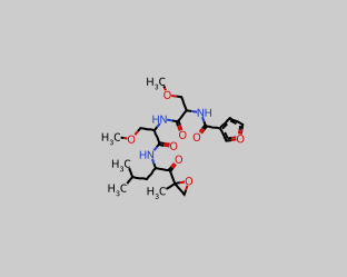 COCC(NC(=O)c1ccoc1)C(=O)NC(COC)C(=O)NC(CC(C)C)C(=O)C1(C)CO1